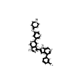 Fc1cccc(-c2cncc3[nH]c(-c4n[nH]c5cnc(-c6cncc(OC7CCNCC7)c6)cc45)cc23)c1